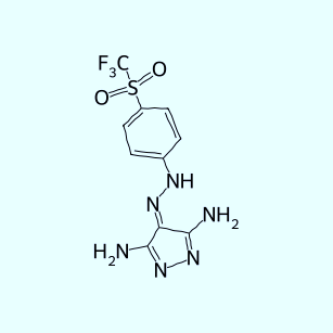 NC1=NN=C(N)C1=NNc1ccc(S(=O)(=O)C(F)(F)F)cc1